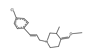 CO/C=C1/CCN(C/C=C/c2ccc(Cl)cc2)CC1C